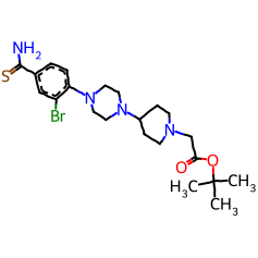 CC(C)(C)OC(=O)CN1CCC(N2CCN(c3ccc(C(N)=S)cc3Br)CC2)CC1